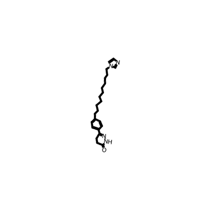 O=C1CCC(c2ccc(CCCCCCCCCCCn3ccnc3)cc2)=NN1